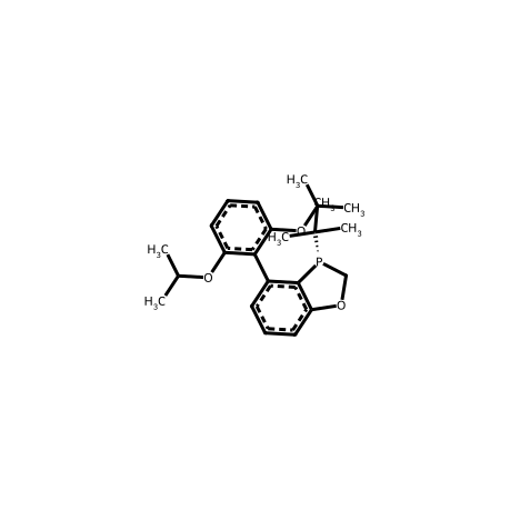 CC(C)Oc1cccc(OC(C)C)c1-c1cccc2c1[P@](C(C)(C)C)CO2